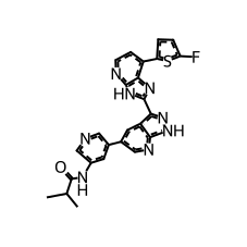 CC(C)C(=O)Nc1cncc(-c2cnc3[nH]nc(-c4nc5c(-c6ccc(F)s6)ccnc5[nH]4)c3c2)c1